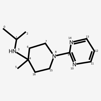 CC(C)NC1(C)CCN(c2ncccn2)CC1